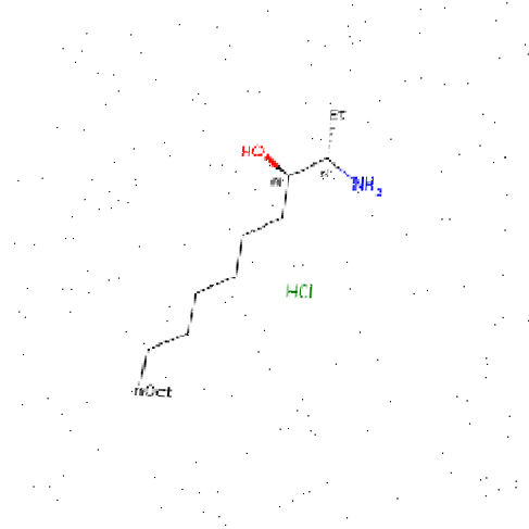 CCCCCCCCCCCCCC[C@@H](O)[C@@H](N)CC.Cl